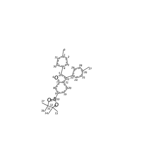 Cc1ccc(-c2oc3cc(B4OC(C)(C)C(C)(C)O4)ccc3c2-c2ccc(C)cc2)cc1